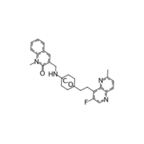 Cc1ccc2ncc(F)c(CCC34CCC(NCc5cc6ccccc6n(C)c5=O)(CC3)CO4)c2n1